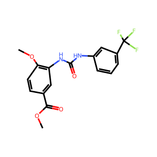 COC(=O)c1ccc(OC)c(NC(=O)Nc2cccc(C(F)(F)F)c2)c1